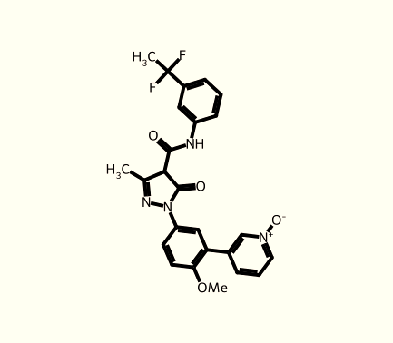 COc1ccc(N2N=C(C)C(C(=O)Nc3cccc(C(C)(F)F)c3)C2=O)cc1-c1ccc[n+]([O-])c1